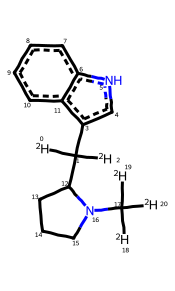 [2H]C([2H])(c1c[nH]c2ccccc12)C1CCCN1C([2H])([2H])[2H]